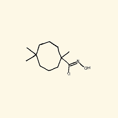 CC1(C)CCCC(C)(/C(Cl)=N/O)CCC1